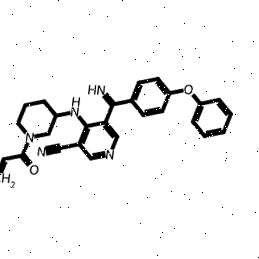 C=CC(=O)N1CCCC(Nc2c(C#N)cncc2C(=N)c2ccc(Oc3ccccc3)cc2)C1